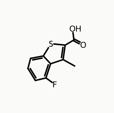 Cc1c(C(=O)O)sc2cccc(F)c12